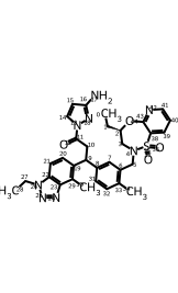 CC[C@@H]1CN(Cc2cc(C(CC(=O)n3ccc(N)n3)c3ccc4c(nnn4CC)c3C)ccc2C)S(=O)(=O)c2cccnc2O1